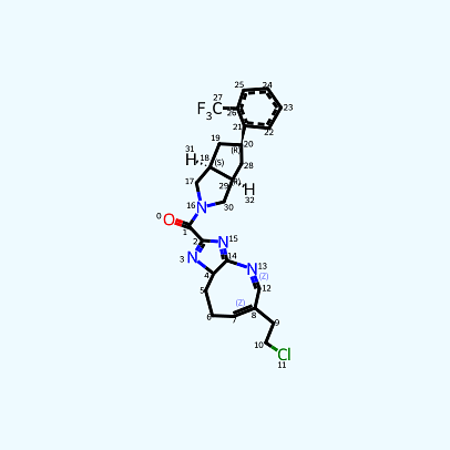 O=C(C1=NC2CC/C=C(CCCl)\C=N/C2=N1)N1C[C@H]2C[C@@H](c3ccccc3C(F)(F)F)C[C@H]2C1